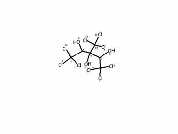 OC(C(Cl)(Cl)Cl)C(O)(C(O)C(Cl)(Cl)Cl)C(Cl)(Cl)Cl